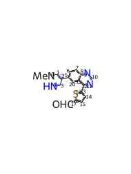 CN/C=C(\C=N)c1ccc2ncnc(-c3ccc(C=O)s3)c2c1